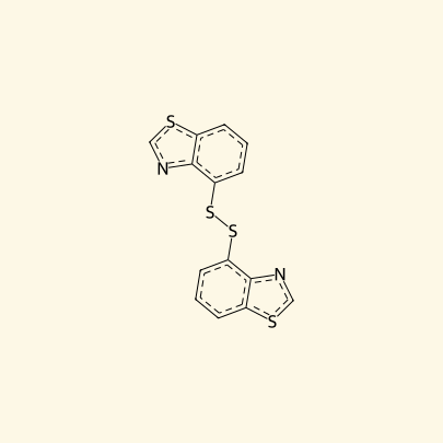 c1cc(SSc2cccc3scnc23)c2ncsc2c1